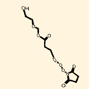 O=C(CCOOON1C(=O)CCC1=O)OCOCCO